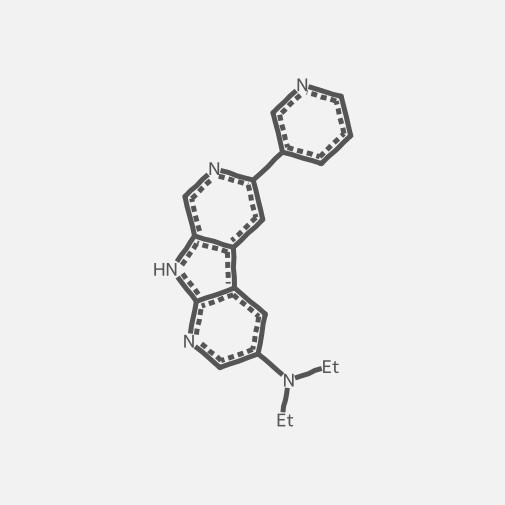 CCN(CC)c1cnc2[nH]c3cnc(-c4cccnc4)cc3c2c1